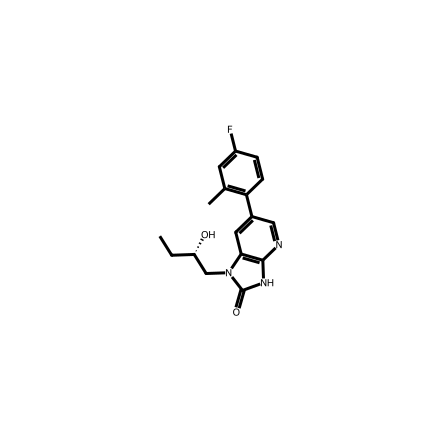 CC[C@H](O)Cn1c(=O)[nH]c2ncc(-c3ccc(F)cc3C)cc21